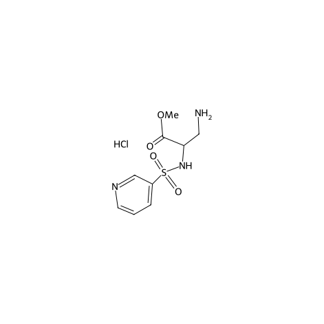 COC(=O)C(CN)NS(=O)(=O)c1cccnc1.Cl